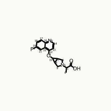 CC(C(=O)O)N1CC2C(C1)C2Oc1ccnc2ccc(F)cc12